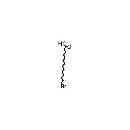 O=C(O)CCCCCCCCCCCCCBr